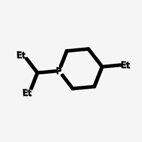 CCC1CCP(C(CC)CC)CC1